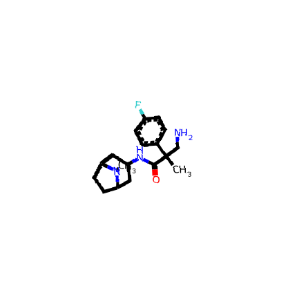 CN1C2CCC1CC(NC(=O)C(C)(CN)c1ccc(F)cc1)C2